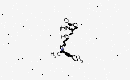 CC#C/C(C)=N\OCCNC[C@@H]1COC(=O)N1